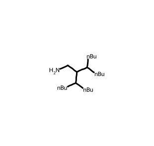 CCCCC(CCCC)C(CN)C(CCCC)CCCC